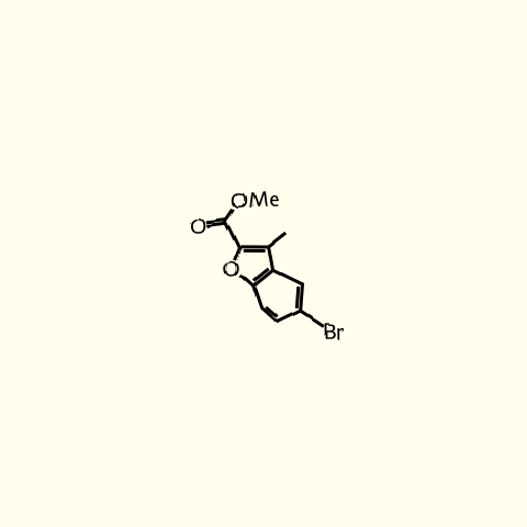 COC(=O)c1oc2ccc(Br)cc2c1C